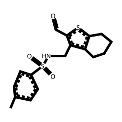 Cc1ccc(S(=O)(=O)NCc2c(C=O)sc3c2CCCC3)cc1